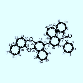 O=P(c1ccccc1)(c1ccccc1)c1ccc(-c2cc3c(c4ccccc24)Oc2c(ccc4ccccc24)O3)c2ccccc12